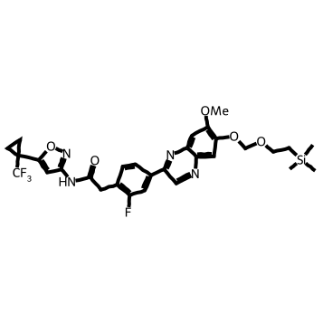 COc1cc2nc(-c3ccc(CC(=O)Nc4cc(C5(C(F)(F)F)CC5)on4)c(F)c3)cnc2cc1OCOCC[Si](C)(C)C